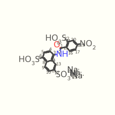 O=C(Nc1ccc(S(=O)(=O)O)c2ccc(S(=O)(=O)O)cc12)c1ccc([N+](=O)[O-])cc1S(=O)(=O)O.[Na].[Na].[Na]